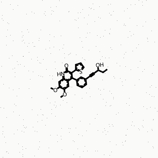 CCC(O)C#Cc1cccc(-c2c(-c3cccs3)c(=O)[nH]c3cc(OC)c(OC)cc23)c1